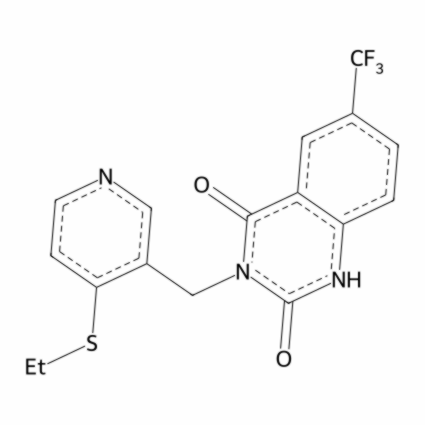 CCSc1ccncc1Cn1c(=O)[nH]c2ccc(C(F)(F)F)cc2c1=O